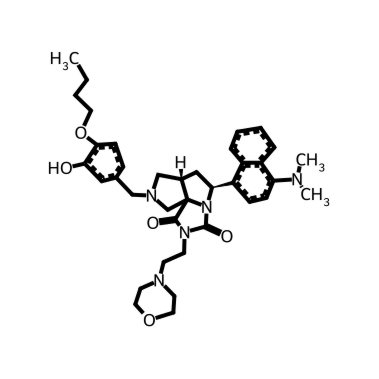 CCCCOc1ccc(CN2C[C@@H]3C[C@@H](c4ccc(N(C)C)c5ccccc45)N4C(=O)N(CCN5CCOCC5)C(=O)C34C2)cc1O